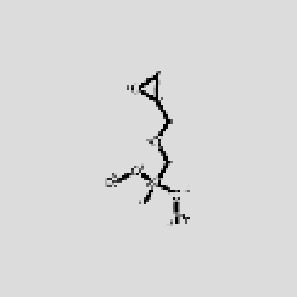 CCO[Si](C)(COCC1CO1)OC(C)C